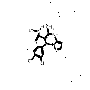 CCN(CC)C(=O)C1=C(C)Nc2ccnn2C1c1ccc(Cl)c(Cl)c1